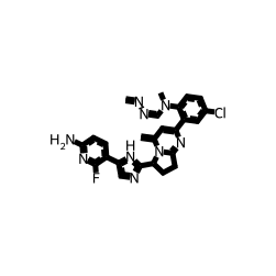 C=N/N=C\N(C)c1ccc(Cl)cc1C1=CC(=C)N2C(=N1)CCC2c1ncc(-c2ccc(N)nc2F)[nH]1